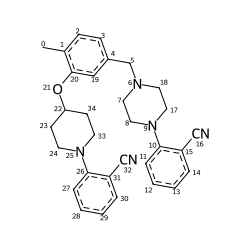 Cc1ccc(CN2CCN(c3ccccc3C#N)CC2)cc1OC1CCN(c2ccccc2C#N)CC1